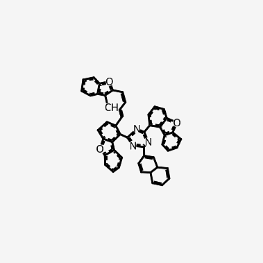 Cc1c(/C=C\C=C\c2ccc3oc4ccccc4c3c2-c2nc(C3=CC4C=CC=CC4C=C3)nc(-c3cccc4oc5ccccc5c34)n2)oc2ccccc12